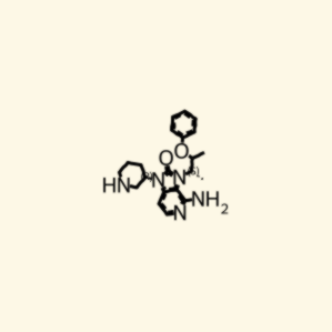 CC(Oc1ccccc1)[C@H](C)n1c(=O)n([C@@H]2CCCNC2)c2ccnc(N)c21